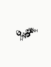 CC(C)Oc1c(-c2cn[nH]c2)ccn2nc(NC3CCOCC3)nc12